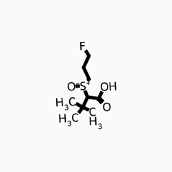 CC(C)(C)C(C(=O)O)[S+]([O-])CCCF